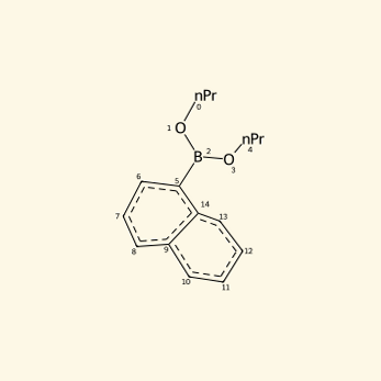 CCCOB(OCCC)c1cccc2ccccc12